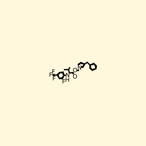 CC(C)C(Nc1ccc(C(F)(F)F)cc1F)C(=O)OCn1ccc(Cc2ccccc2)c1